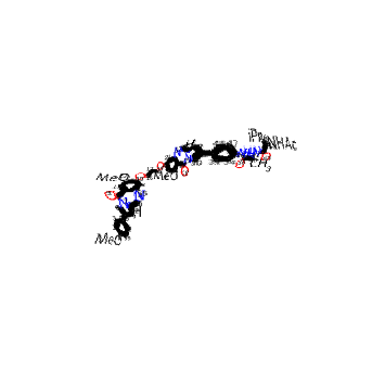 COc1ccc(C2=CN3C(=O)c4cc(OC)c(OCCCOc5cc6c(cc5OC)C(=O)N5C=C(c7ccc(NC(=O)[C@H](C)NC(=O)[C@@H](NC(C)=O)C(C)C)cc7)C[C@H]5C=N6)cc4N=C[C@@H]3C2)cc1